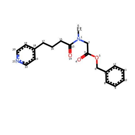 CCN(CC(=O)OCc1ccccc1)C(=O)CCCc1ccncc1